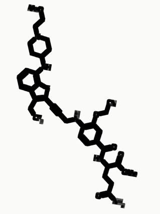 COCCN1CCC(Nc2cccc3c(CC(F)(F)F)c(C#CCNc4ccc(C(=O)NC(CCC(N)=O)C(=O)OC)cc4OCC#N)sc23)CC1